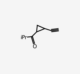 C#CC1CC1C(=O)C(C)C